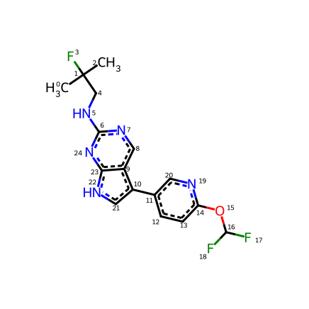 CC(C)(F)CNc1ncc2c(-c3ccc(OC(F)F)nc3)c[nH]c2n1